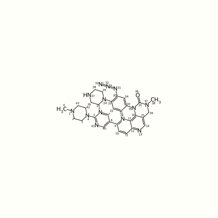 CN1CCN(c2ncc(-c3ccc4ncc5c(c4n3)N(c3ccc(N4CCNCC4)c(N=[N+]=[N-])c3)C(=O)N(C)C5)cn2)CC1